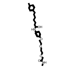 CNC(=O)COCCCOCCOc1ccc(NC(O)CCCCCCc2ccc(C)cc2)cc1